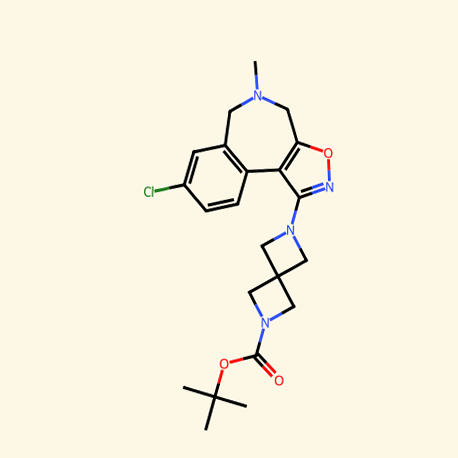 CN1Cc2cc(Cl)ccc2-c2c(N3CC4(CN(C(=O)OC(C)(C)C)C4)C3)noc2C1